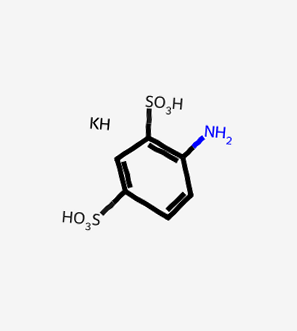 Nc1ccc(S(=O)(=O)O)cc1S(=O)(=O)O.[KH]